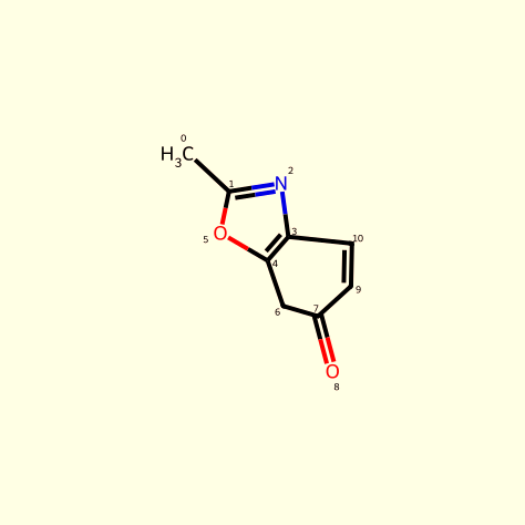 Cc1nc2c(o1)CC(=O)C=C2